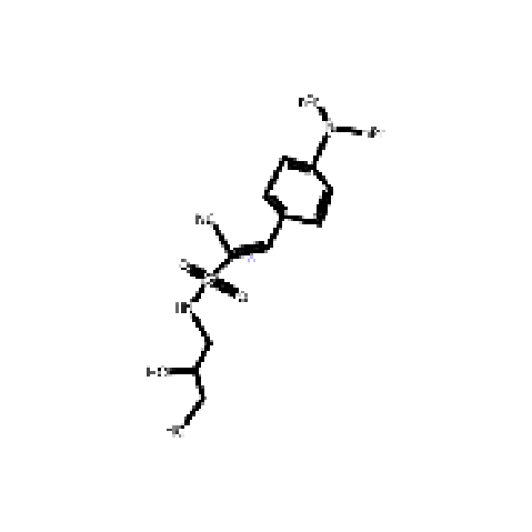 CCCN(CCC)c1ccc(/C=C(\C#N)S(=O)(=O)NCC(O)CO)cc1